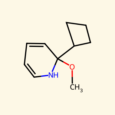 COC1(C2CCC2)C=CC=CN1